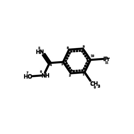 Cc1cc(C(=N)NO)ccc1C(C)C